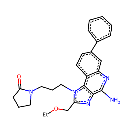 CCOCc1nc2c(N)nc3cc(-c4ccccc4)ccc3c2n1CCCN1CCCC1=O